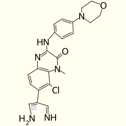 Cn1c(=O)c(Nc2ccc(N3CCOCC3)cc2)nc2ccc(/C(C=N)=C/N)c(Cl)c21